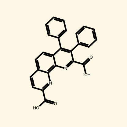 O=C(O)c1ccc2ccc3c(-c4ccccc4)c(-c4ccccc4)c(C(=O)O)nc3c2n1